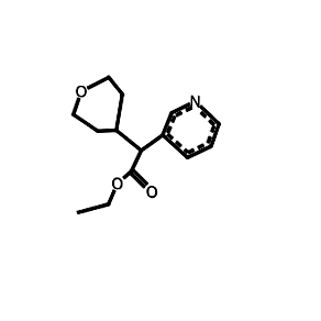 CCOC(=O)C(c1cccnc1)C1CCOCC1